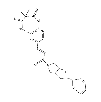 CC1(C)C(=O)Nc2cc(/C=C/C(=O)N3CC4C=C(c5ccccc5)CC4C3)cnc2NC1=O